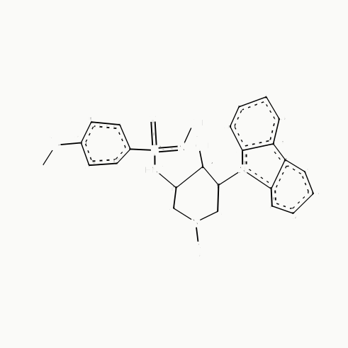 CN=S(=O)(NC1CN(C(C)=O)CC(n2c3ccccc3c3ccccc32)C1O)c1ccc(OC(F)(F)F)cc1